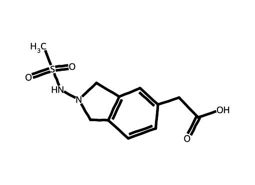 CS(=O)(=O)NN1Cc2ccc(CC(=O)O)cc2C1